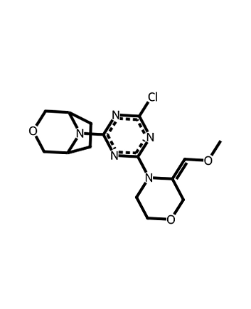 CO/C=C1\COCCN1c1nc(Cl)nc(N2C3CCC2COC3)n1